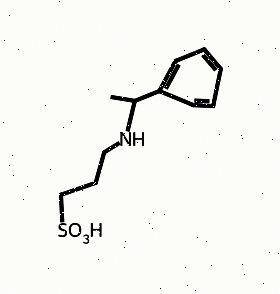 CC(NCCCS(=O)(=O)O)c1ccccc1